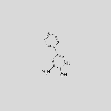 NC1=CC(c2ccncc2)=CNC1O